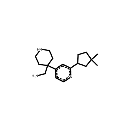 CC1(C)CCC(c2cc(C3(CN)CCNCC3)ccn2)C1